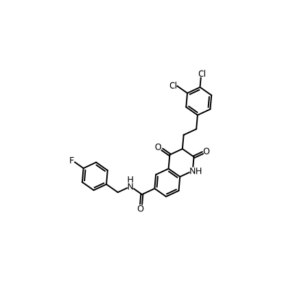 O=C(NCc1ccc(F)cc1)c1ccc2c(c1)C(=O)C(CCc1ccc(Cl)c(Cl)c1)C(=O)N2